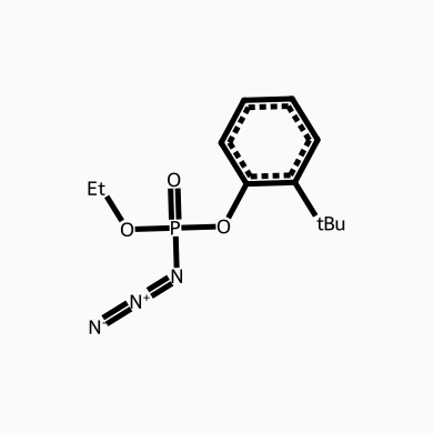 CCOP(=O)(N=[N+]=[N-])Oc1ccccc1C(C)(C)C